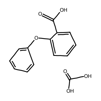 O=C(O)O.O=C(O)c1ccccc1Oc1ccccc1